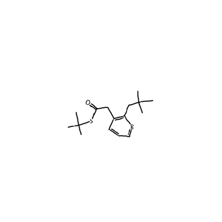 CC(C)(C)Cc1bcccc1CC(=O)SC(C)(C)C